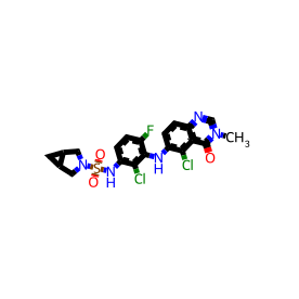 Cn1cnc2ccc(Nc3c(F)ccc(NS(=O)(=O)N4CC5CC5C4)c3Cl)c(Cl)c2c1=O